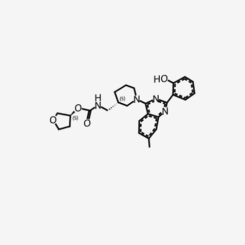 Cc1ccc2c(N3CCC[C@@H](CNC(=O)O[C@H]4CCOC4)C3)nc(-c3ccccc3O)nc2c1